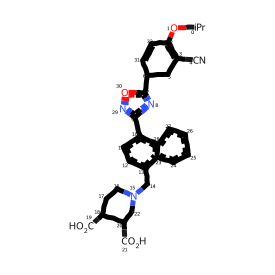 CC(C)OC1=C(C#N)CC(c2nc(-c3ccc(CN4CCC(C(=O)O)C(C(=O)O)C4)c4ccccc34)no2)C=C1